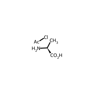 CC(=O)Cl.C[C@H](N)C(=O)O